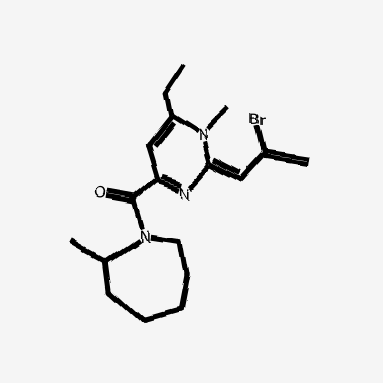 C=C(Br)/C=C1/N=C(C(=O)N2CCCCCC2C)C=C(CC)N1C